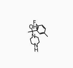 Cc1ccc(F)c(C(C)(O)N2CCNCC2)c1